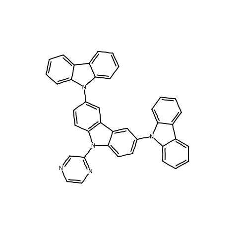 c1ccc2c(c1)c1ccccc1n2-c1ccc2c(c1)c1cc(-n3c4ccccc4c4ccccc43)ccc1n2-c1cnccn1